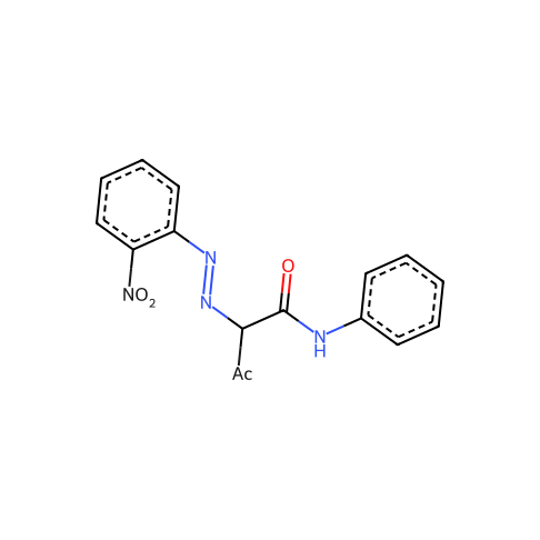 CC(=O)C(N=Nc1ccccc1[N+](=O)[O-])C(=O)Nc1ccccc1